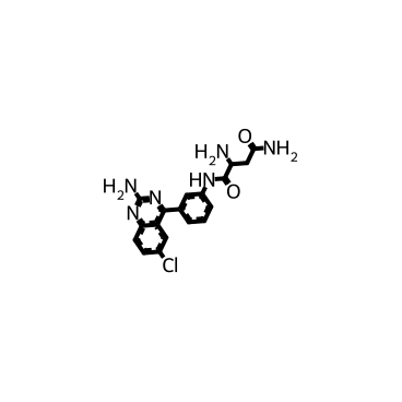 NC(=O)CC(N)C(=O)Nc1cccc(-c2nc(N)nc3ccc(Cl)cc23)c1